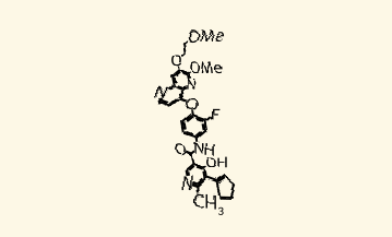 COCCOc1cc2nccc(Oc3ccc(NC(=O)c4cnc(C)c(C5=CCCC5)c4O)cc3F)c2nc1OC